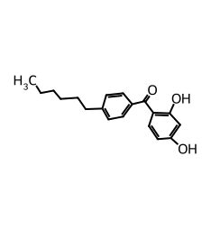 CCCCCCc1ccc(C(=O)c2ccc(O)cc2O)cc1